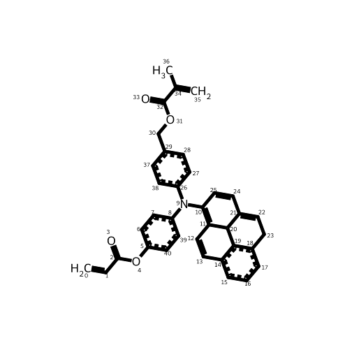 C=CC(=O)Oc1ccc(N(C2=C3C=Cc4cccc5c4C3C(=CC5)C=C2)c2ccc(COC(=O)C(=C)C)cc2)cc1